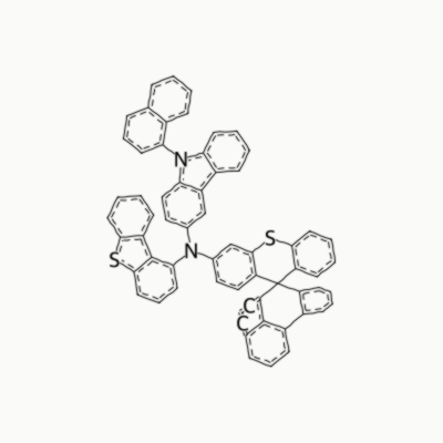 c1ccc2c(c1)Sc1cc(N(c3ccc4c(c3)c3ccccc3n4-c3cccc4ccccc34)c3cccc4sc5ccccc5c34)ccc1C21c2ccccc2-c2cccc3cccc1c23